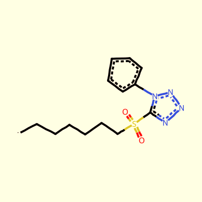 [CH2]CCCCCCS(=O)(=O)c1nnnn1-c1ccccc1